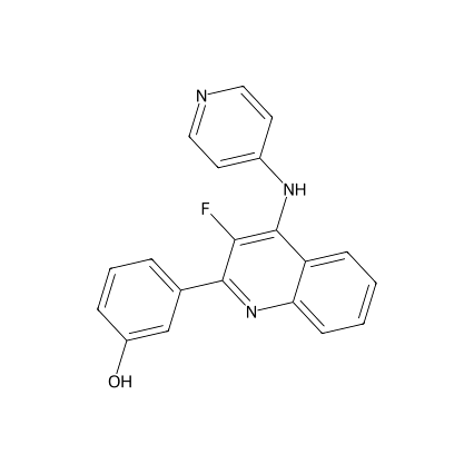 Oc1cccc(-c2nc3ccccc3c(Nc3ccncc3)c2F)c1